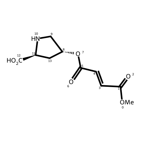 COC(=O)/C=C/C(=O)O[C@H]1CN[C@H](C(=O)O)C1